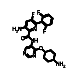 Nc1cc(F)c(-c2c(F)cccc2F)nc1C(=O)Nc1cncnc1OC1CCC(N)CC1